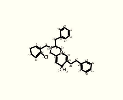 C=C1C=C2CN(CC3=CCCC=C3Cl)C(Cc3ccccc3)CN2C=C1CCc1ccccc1